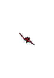 CCCCCCCCCCCCCN(CC)Cc1ccccc1CN(CC)CCCCCCCCCCCCC